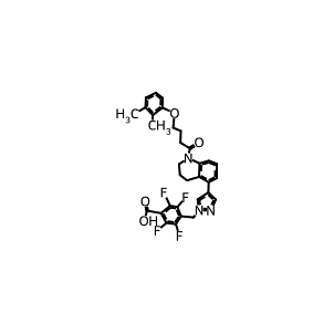 Cc1cccc(OCCCC(=O)N2CCCc3c(-c4cnn(Cc5c(F)c(F)c(C(=O)O)c(F)c5F)c4)cccc32)c1C